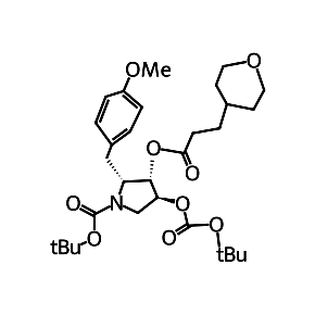 COc1ccc(C[C@@H]2[C@H](OC(=O)CCC3CCOCC3)[C@@H](OC(=O)OC(C)(C)C)CN2C(=O)OC(C)(C)C)cc1